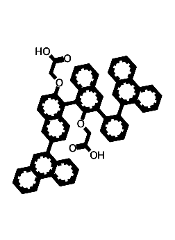 O=C(O)COc1ccc2cc(-c3cc4ccccc4c4ccccc34)ccc2c1-c1c(OCC(=O)O)c(-c2ccccc2-c2cc3ccccc3c3ccccc23)cc2ccccc12